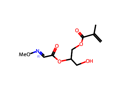 C=C(C)C(=O)OCC(CO)OC(=O)/C=N/OC